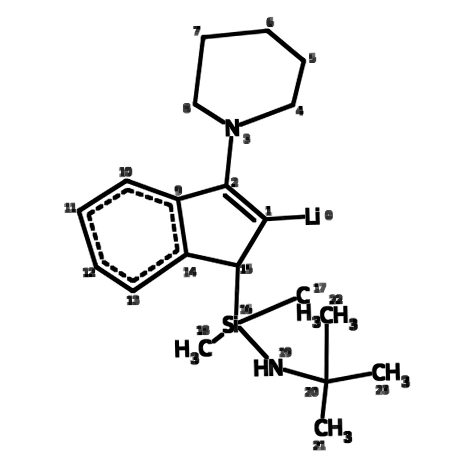 [Li][C]1=C(N2CCCCC2)c2ccccc2C1[Si](C)(C)NC(C)(C)C